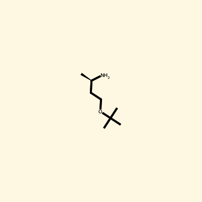 C[C@@H](N)CCOC(C)(C)C